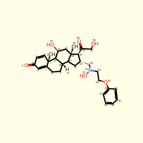 C[C@]12C=CC(=O)C=C1CC[C@@H]1C2[C@@H](O)C[C@@]2(C)C1C[C@@H](CN(O)CCOc1ccccc1)[C@@H]2C(=O)CO